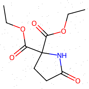 CCOC(=O)C1(C(=O)OCC)CCC(=O)N1